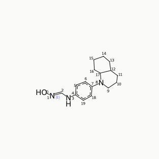 O/N=C/Nc1ccc(N2CCCC3CCCCC32)cc1